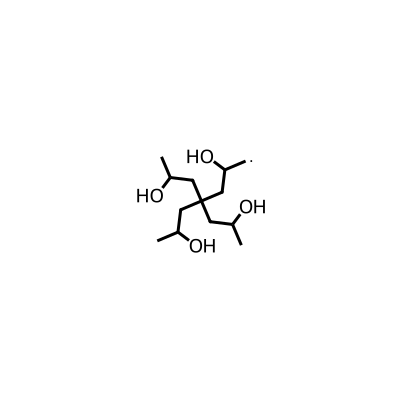 [CH2]C(O)CC(CC(C)O)(CC(C)O)CC(C)O